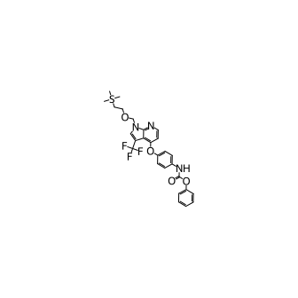 CS(C)(C)CCOCn1cc(C(F)(F)F)c2c(Oc3ccc(NC(=O)Oc4ccccc4)cc3)ccnc21